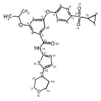 CC(C)Oc1cc(Oc2ccc(S(=O)(=O)C3CC3)nc2)cc(C(=O)Nc2ncc(N3CCOCC3)s2)c1